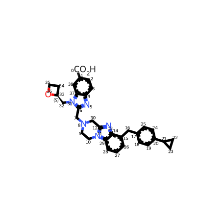 O=C(O)c1ccc2nc(CN3CCn4c(nc5c(Cc6ccc(C7CC7)cc6)cccc54)C3)n(C[C@@H]3CCO3)c2c1